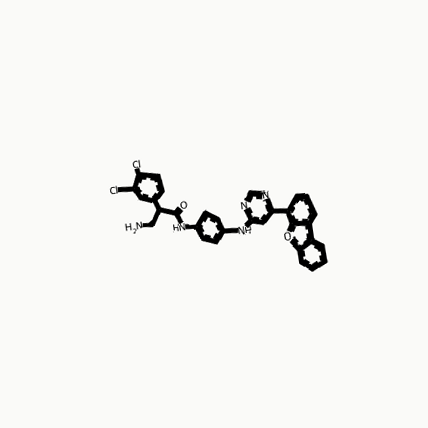 NCC(C(=O)Nc1ccc(Nc2cc(-c3cccc4c3oc3ccccc34)ncn2)cc1)c1ccc(Cl)c(Cl)c1